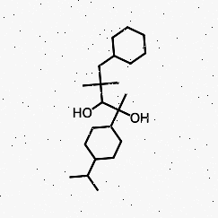 CC(C)C1CCC(C(C)(O)C(O)C(C)(C)CC2CCCCC2)CC1